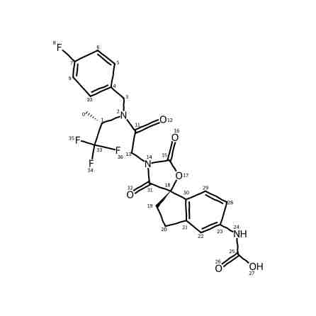 C[C@H](N(Cc1ccc(F)cc1)C(=O)CN1C(=O)O[C@@]2(CCc3cc(NC(=O)O)ccc32)C1=O)C(F)(F)F